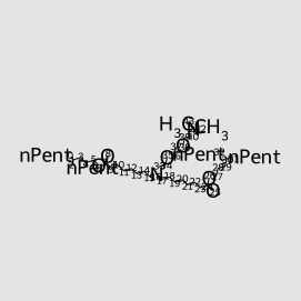 CCCCCC(CCCCC)CCCOC(=O)CCCCCCCN(CCCCCCCC(=O)OCCCC(CCCCC)CCCCC)CCOCCOCCN(C)C